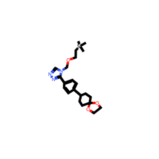 C[Si](C)(C)CCOCn1cnnc1-c1ccc(C2CCC3(CC2)OCCO3)cc1